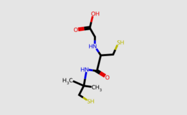 CC(C)(CS)NC(=O)C(CS)NCC(=O)O